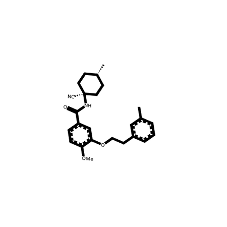 COc1ccc(C(=O)N[C@]2(C#N)CC[C@@H](C)CC2)cc1OCCc1cccc(C)c1